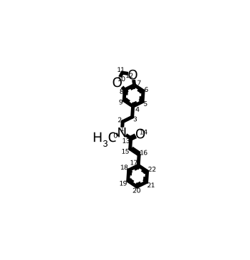 CN(CCc1ccc2c(c1)OCO2)C(=O)C=Cc1ccccc1